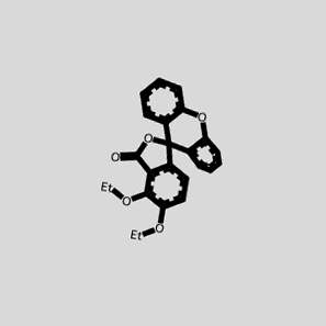 CCOc1ccc2c(c1OCC)C(=O)OC21c2ccccc2Oc2ccccc21